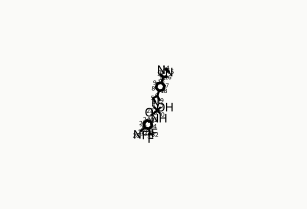 CC(O)(CN1CC(c2ccc(-c3cncnc3)cc2)C1)C(=O)Nc1ccc(C#N)c(C(F)(F)F)c1